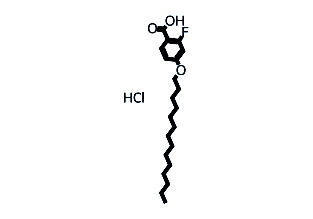 CCCCCCCCCCCCCCOc1ccc(C(=O)O)c(F)c1.Cl